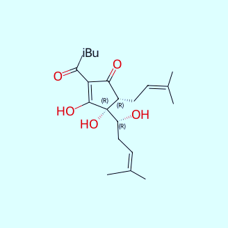 CCC(C)C(=O)C1=C(O)[C@](O)([C@H](O)CC=C(C)C)[C@@H](CC=C(C)C)C1=O